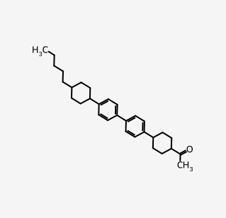 CCCCCC1CCC(c2ccc(-c3ccc(C4CCC(C(C)=O)CC4)cc3)cc2)CC1